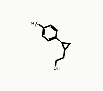 Cc1ccc([C@H]2CC2CCO)cc1